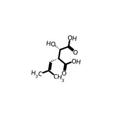 CC(C)=C[C@@H](C(=O)O)[C@H](O)C(=O)O